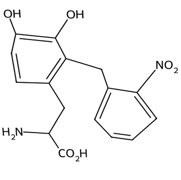 NC(Cc1ccc(O)c(O)c1Cc1ccccc1[N+](=O)[O-])C(=O)O